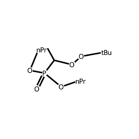 CCCOP(=O)(OCCC)C(C)OOC(C)(C)C